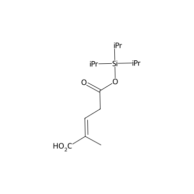 CC(=CCC(=O)O[Si](C(C)C)(C(C)C)C(C)C)C(=O)O